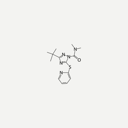 CN(C)C(=O)n1nc(C(C)(C)C)nc1Sc1ccccn1